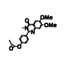 COc1cc2nc(-c3ccc(OC4OC4C)cc3)n(C)c(=O)c2cc1OC